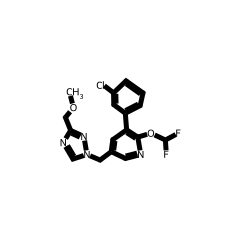 COCc1ncn(Cc2cnc(OC(F)F)c(-c3cccc(Cl)c3)c2)n1